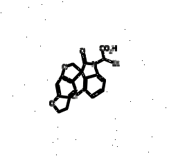 CCC(C(=O)O)N1C(=O)C2(COc3cc4c(cc32)CCO4)c2c(Cl)cccc21